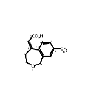 O=C(O)/C=C1/CCOCc2cc(C(F)(F)F)ccc21